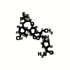 CCC(C(=O)Nc1ccc(C(N)=O)cc1)n1cc2c(cc1=O)-c1c(ccc(Cl)c1F)CC(C(F)(F)F)CO2